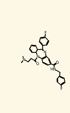 CN(C)CCC(=O)N1c2ccc(C(=O)NCc3ccc(F)cc3)cc2N=C(c2ccc(F)cc2)C2C=CC=CC21